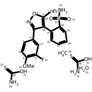 C.CCCc1onc(-c2ccc(OC)c(F)c2)c1-c1ccccc1S(N)(=O)=O.NC(O)=S.NC(O)=S.O